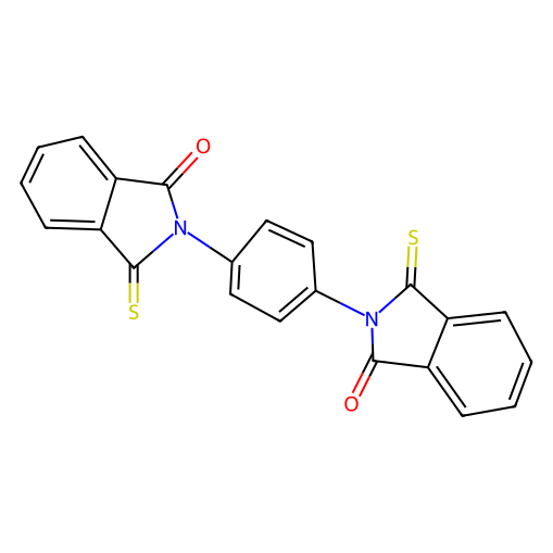 O=C1c2ccccc2C(=S)N1c1ccc(N2C(=O)c3ccccc3C2=S)cc1